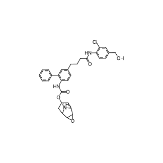 CN1C2CC(OC(=O)Nc3ccc(CCCC(=O)Nc4ccc(CO)cc4Cl)cc3-c3ccccc3)CC1C1OC12